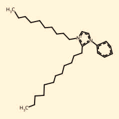 CCCCCCCCCCCCc1n(-c2ccccc2)cc[n+]1CCCCCCCCCC